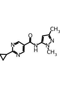 Cc1cc(NC(=O)c2cnc(C3CC3)nc2)n(C)n1